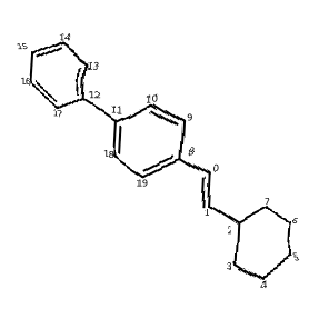 C(=CC1CCCCC1)c1ccc(-c2ccccc2)cc1